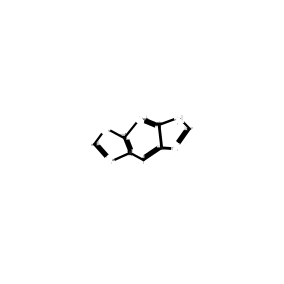 B1C=Nc2cc3nc[nH]c3nc21